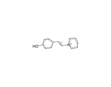 Oc1ccc(/C=C/[n+]2ccccc2)cc1